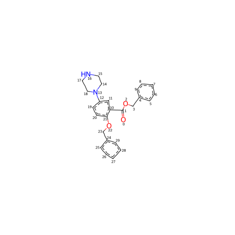 O=C(OCc1ccccc1)c1cc(N2CCNCC2)ccc1OCc1ccccc1